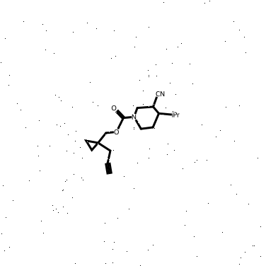 C#CCC1(COC(=O)N2CCC(C(C)C)C(C#N)C2)CC1